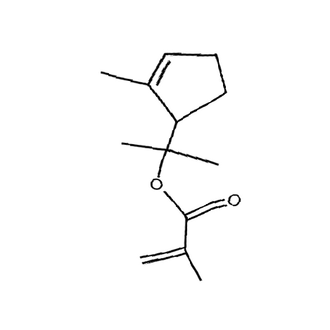 C=C(C)C(=O)OC(C)(C)C1CCC=C1C